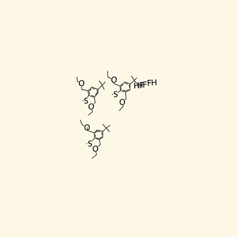 CCOCc1cc(C(C)(C)C)cc(COCC)c1[S].CCOCc1cc(C(C)(C)C)cc(COCC)c1[S].CCOCc1cc(C(C)(C)C)cc(COCC)c1[S].F.F.F